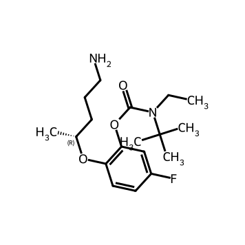 CCN(C(=O)Oc1cc(F)ccc1O[C@H](C)CCCN)C(C)(C)C